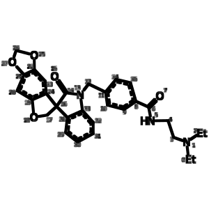 CCN(CC)CCNC(=O)c1ccc(CN2C(=O)C3(COc4cc5c(cc43)OCO5)c3ccccc32)cc1